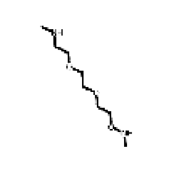 CNCCOCCOCCONC